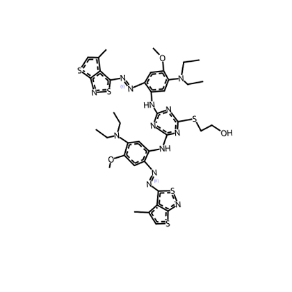 CCN(CC)c1cc(Nc2nc(Nc3cc(N(CC)CC)c(OC)cc3/N=N/c3snc4scc(C)c34)nc(SCCO)n2)c(/N=N/c2snc3scc(C)c23)cc1OC